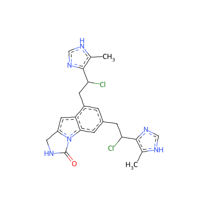 Cc1[nH]cnc1C(Cl)Cc1cc(CC(Cl)c2nc[nH]c2C)c2cc3n(c2c1)C(=O)NC3